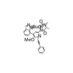 COc1c(-c2cccc3cnn(C)c23)cc(NC(=O)C(C)N(C)C(=O)OC(C)(C)C)nc1C#Cc1ccccc1